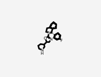 Fc1ccc([C@H]2c3ccccc3CCN2C2=NCC(C3CCCNC3)O2)cc1